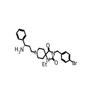 CCN1C(=O)N(Cc2ccc(Br)cc2)C(=O)C12CCN(CC[C@H](N)c1ccccc1)CC2